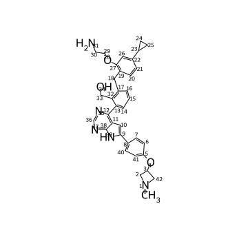 CN1CC(Oc2ccc(-c3cc4c(-c5cccc(Cc6ccc(C7CC7)cc6OCCN)c5CO)ncnc4[nH]3)cc2)C1